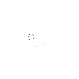 COCC(C)N1CCn2nc(N)cc2C1